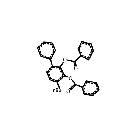 CCCCc1ccc(-c2ccccc2)c(OC(=O)c2ccccc2)c1OC(=O)c1ccccc1